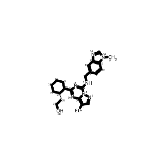 CCc1cnn2c(NCc3ccc4c(c3)ncn4C)nc(C3CCCC[C@H]3CCO)nc12